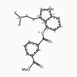 COC(=O)c1cccc(C(=O)Oc2cccc3[nH]cc(CCN(C)C)c23)c1